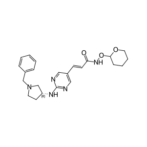 O=C(C=Cc1cnc(N[C@@H]2CCN(Cc3ccccc3)C2)nc1)NOC1CCCCO1